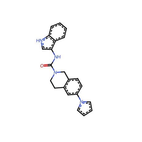 O=C(Nc1c[nH]c2ccccc12)N1CCc2cc(-n3cccc3)ccc2C1